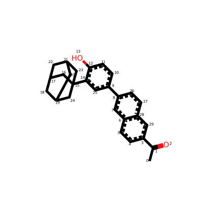 CC(=O)c1ccc2cc(-c3ccc(O)c(C45CC6CC(CC(C6)C4)C5)c3)ccc2c1